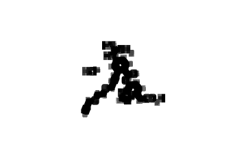 C#CCOCCOCC#Cc1cc(NC(=N)N)ccc1C(=O)Oc1ccc(CC(=O)O)n2ncnc12.Cl